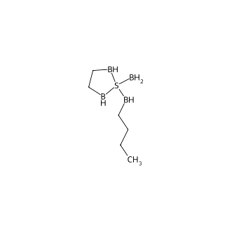 BS1(BCCCC)BCCB1